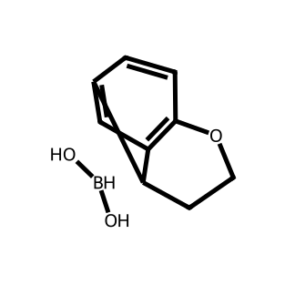 OBO.c1cc2c3cc1C3CCO2